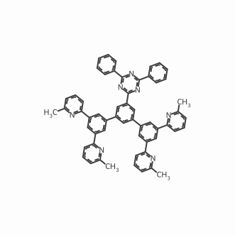 Cc1cccc(-c2cc(-c3cc(-c4cc(-c5cccc(C)n5)cc(-c5cccc(C)n5)c4)cc(-c4nc(-c5ccccc5)nc(-c5ccccc5)n4)c3)cc(-c3cccc(C)n3)c2)n1